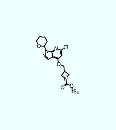 CC(C)(C)OC(=O)N1CC(COc2cc(Cl)nc3c2cnn3C2CCCCO2)C1